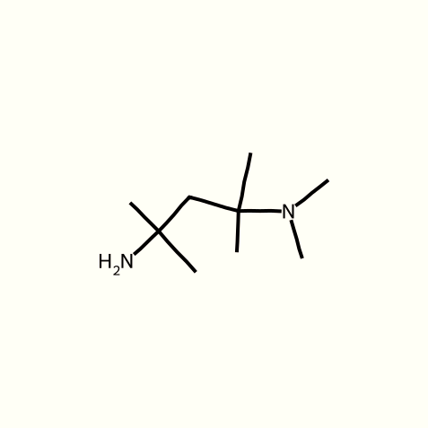 CN(C)C(C)(C)CC(C)(C)N